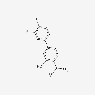 Cc1cc(-c2ccc(F)c(F)c2)ccc1C(C)C